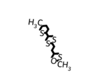 CC1CCC(C2CSC(CCC3COC(C)SC3)SC2)SC1